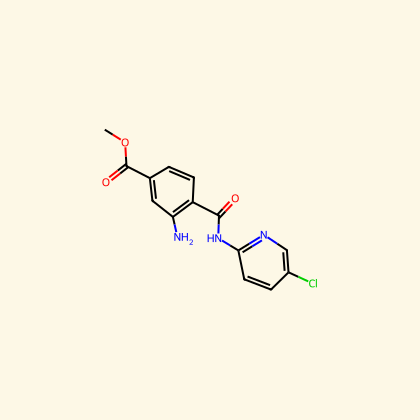 COC(=O)c1ccc(C(=O)Nc2ccc(Cl)cn2)c(N)c1